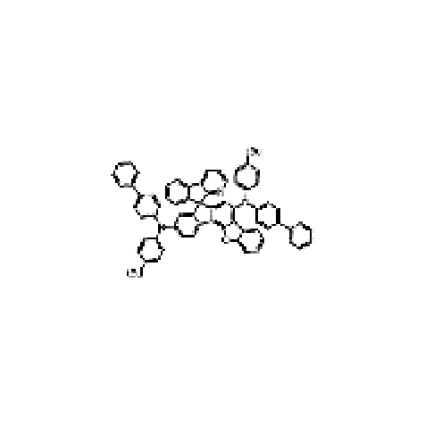 CC(C)(C)c1ccc(N(c2ccc(-c3ccccc3)cc2)c2ccc3c(c2)C2(c4ccccc4-c4cccnc42)c2cc(N(c4ccc(-c5ccccc5)cc4)c4ccc(C(C)(C)C)cc4)c4c(oc5ccccc54)c2-3)cc1